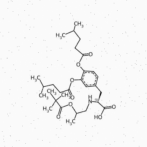 CC(C)CCC(=O)Oc1ccc(C[C@H](NCC(C)OC(=O)C(C)(C)C)C(=O)O)cc1OC(=O)CCC(C)C